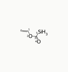 C=COC(=O)[SiH3]